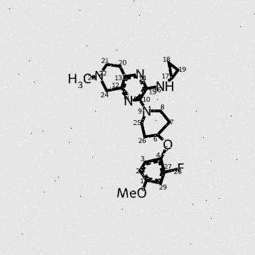 COc1ccc(OC2CCN(c3nc4c(nc3NC3CC3)CCN(C)C4)CC2)c(F)c1